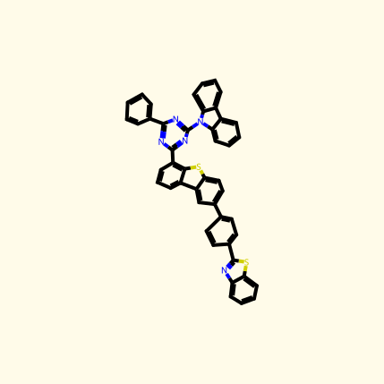 c1ccc(-c2nc(-c3cccc4c3sc3ccc(-c5ccc(-c6nc7ccccc7s6)cc5)cc34)nc(-n3c4ccccc4c4ccccc43)n2)cc1